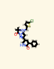 CC(C)(C)C(=O)n1nc(-c2c[nH]c(=O)c(-c3ccccc3)c2)cc1NCc1ccc(Cl)s1